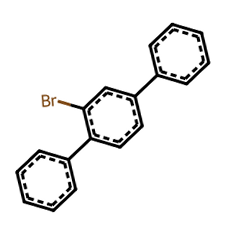 Brc1cc(-c2ccccc2)ccc1-c1ccccc1